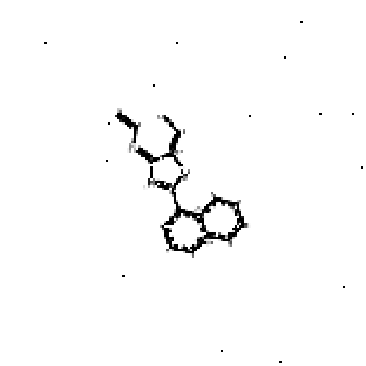 C=C/N=C1/N=C(c2cccc3ccccc23)O/C1=C/C